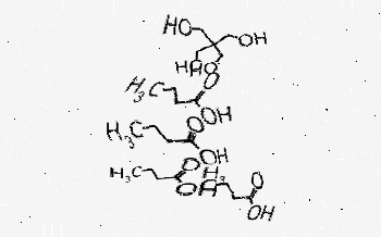 CCCC(=O)O.CCCC(=O)O.CCCC(=O)O.CCCC(=O)O.OCC(CO)(CO)CO